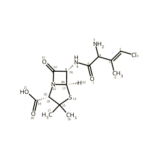 C/C(=C\Cl)C(N)C(=O)N[C@H]1C(=O)N2[C@@H]1SC(C)(C)[C@@H]2C(=O)O